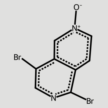 [O-][n+]1ccc2c(Br)ncc(Br)c2c1